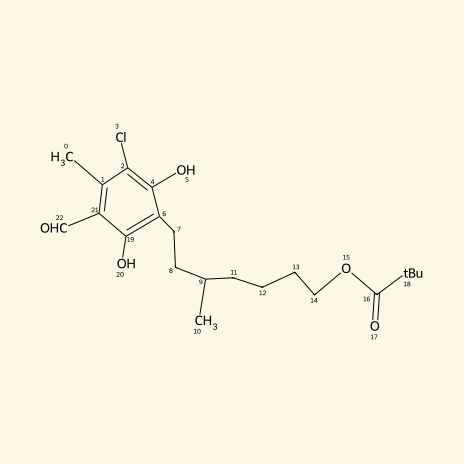 Cc1c(Cl)c(O)c(CCC(C)CCCCOC(=O)C(C)(C)C)c(O)c1C=O